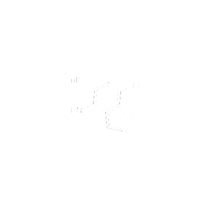 CCCc1cc(CC)c2occc2c1N